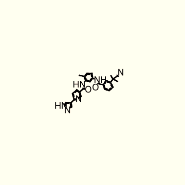 Cc1ccc(NC(=O)c2cccc(C(C)(C)C#N)c2)cc1NC(=O)c1ccc(-c2cn[nH]c2)nc1